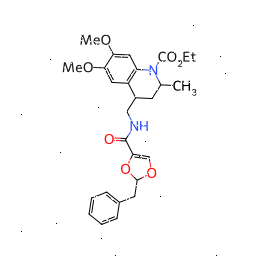 CCOC(=O)N1c2cc(OC)c(OC)cc2C(CNC(=O)C2=COC(Cc3ccccc3)O2)CC1C